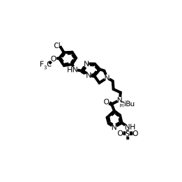 CC[C@@H](C)N(CCCN1Cc2cnc(Nc3ccc(Cl)c(OC(F)(F)F)c3)nc2C1)C(=O)c1ccnc(NS(C)(=O)=O)c1